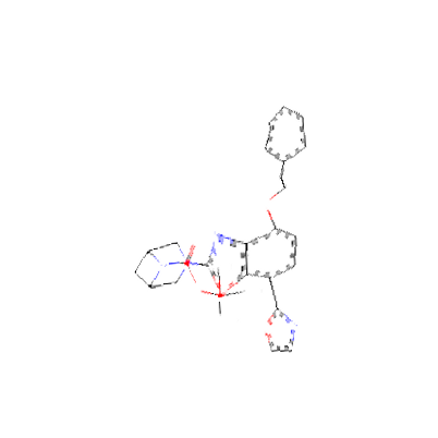 CC(C)(C)OC(=O)N1C2CC1CN(c1nc3c(OCc4ccccc4)ccc(-c4ncco4)c3o1)C2